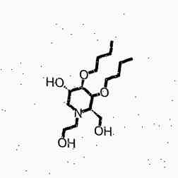 CCCCOC1[C@@H](CO)N(CCO)C[C@H](O)[C@H]1OCCCC